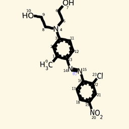 Cc1cc(N(CCO)CCO)ccc1/N=N/c1ccc([N+](=O)[O-])cc1Cl